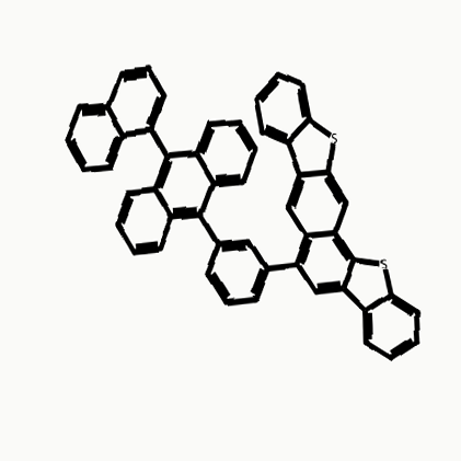 c1cc(-c2c3ccccc3c(-c3cccc4ccccc34)c3ccccc23)cc(-c2cc3c4ccccc4sc3c3cc4sc5ccccc5c4cc23)c1